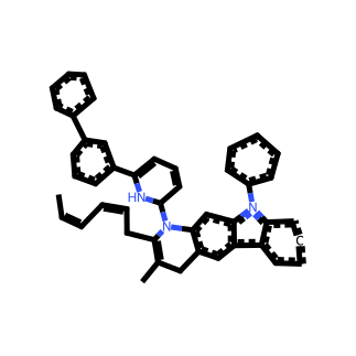 C/C=C\C=C/CC1=C(C)Cc2cc3c4ccccc4n(-c4ccccc4)c3cc2N1C1C=CC=C(c2cccc(-c3ccccc3)c2)N1